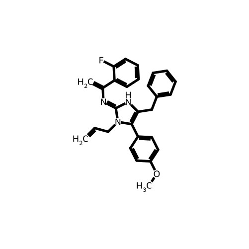 C=CCn1c(-c2ccc(OC)cc2)c(Cc2ccccc2)[nH]/c1=N\C(=C)c1ccccc1F